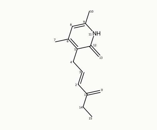 C=C(/C=C/CC1=C(C)C=C(C)NC1=C)CC